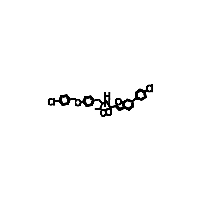 CC(=O)C(Cc1ccc(OCc2ccc(Cl)cc2)cc1)NC(=O)c1cc2ccc(-c3ccc(Cl)cc3)cc2o1